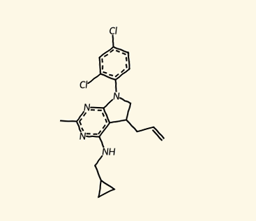 C=CCC1CN(c2ccc(Cl)cc2Cl)c2nc(C)nc(NCC3CC3)c21